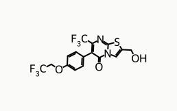 O=c1c(-c2ccc(OCC(F)(F)F)cc2)c(C(F)(F)F)nc2sc(CO)cn12